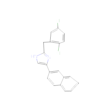 Clc1ccc(Cl)c(Cc2nc(-c3ccc4ccccc4c3)c[nH]2)c1